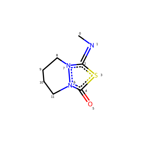 C/N=c1/sc(=O)n2n1CCCC2